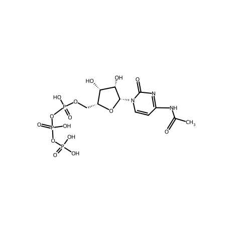 CC(=O)Nc1ccn([C@@H]2O[C@H](COP(=O)(O)OP(=O)(O)OP(=O)(O)O)[C@H](O)[C@@H]2O)c(=O)n1